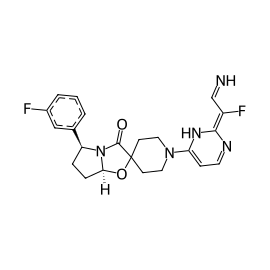 N=C/C(F)=C1/N=CC=C(N2CCC3(CC2)O[C@H]2CC[C@@H](c4cccc(F)c4)N2C3=O)N1